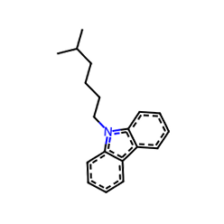 CC(C)CCCCn1c2ccccc2c2ccccc21